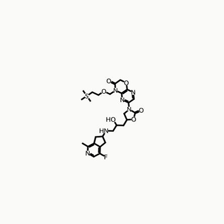 Cc1ncc(F)c2c1CC(NCC(O)CC1CN(c3cnc4c(n3)N(COCCS(C)(C)C)C(=O)CO4)C(=O)O1)C2